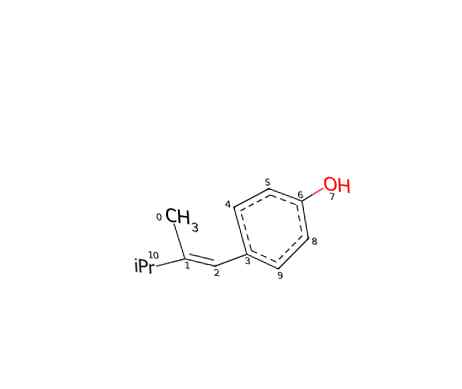 C/C(=C\c1ccc(O)cc1)C(C)C